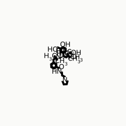 CC(C)(Cc1cccc(C(=O)NCCCN2CCCC2)c1)NC[C@H](CC(C)(C)[Si](C)(C)O)c1ccc(O)c(CO)c1